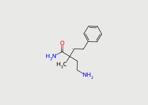 CC([CH]Cc1ccccc1)(CCN)C(N)=O